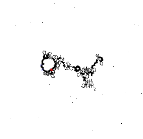 COc1cc2cc(c1Cl)N(C)C(=O)C[C@H](OC(=O)[C@H](C)N(C)C(=O)CCN(C)C(=O)OCc1ccc(NC(=O)[C@@H](CCCNC(N)=O)NC(=O)[C@H](NC(=O)CCCCCN3C(=O)C=CC3=O)C(C)C)cc1)[C@]1(C)O[C@H]1[C@H](C)[C@@H]1C[C@@](O)(NC(=O)O1)[C@H](OC)/C=C/C=C(\C)C2